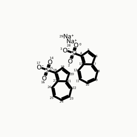 O=S(=O)([O-])c1ccc2cccccc1-2.O=S(=O)([O-])c1ccc2cccccc1-2.[Na+].[Na+]